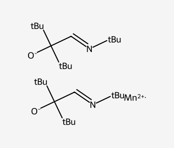 CC(C)(C)N=CC([O-])(C(C)(C)C)C(C)(C)C.CC(C)(C)N=CC([O-])(C(C)(C)C)C(C)(C)C.[Mn+2]